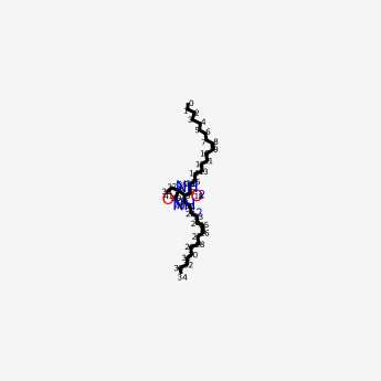 CCCCCCCC/C=C\CCCCCCCC(=O)C(CCCCC/C=C\CCCCCCCC)C(N)(CC)C(N)=O